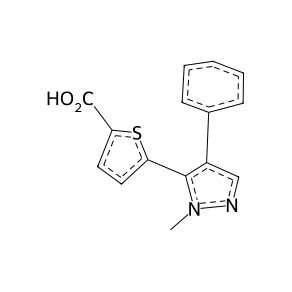 Cn1ncc(-c2ccccc2)c1-c1ccc(C(=O)O)s1